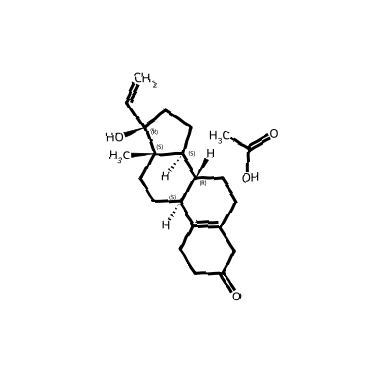 C=C[C@]1(O)CC[C@H]2[C@@H]3CCC4=C(CCC(=O)C4)[C@H]3CC[C@@]21C.CC(=O)O